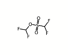 O=S(=O)(OC(F)F)C(F)F